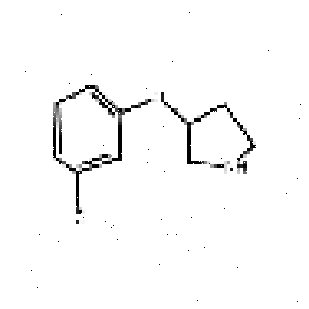 Clc1cccc(OC2CCNC2)c1